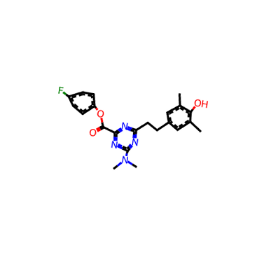 Cc1cc(CCc2nc(C(=O)Oc3ccc(F)cc3)nc(N(C)C)n2)cc(C)c1O